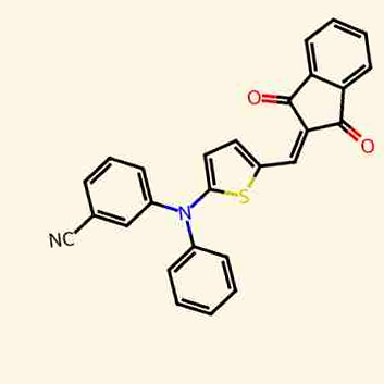 N#Cc1cccc(N(c2ccccc2)c2ccc(C=C3C(=O)c4ccccc4C3=O)s2)c1